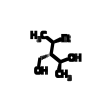 CC[C@H](C)[C@@H](CO)[C@H](C)O